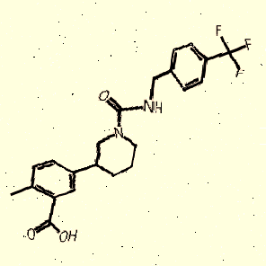 Cc1ccc(C2CCCN(C(=O)NCc3ccc(C(F)(F)F)cc3)C2)cc1C(=O)O